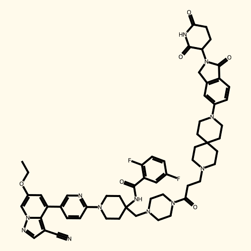 CCOc1cc(-c2ccc(N3CCC(CN4CCN(C(=O)CCN5CCC6(CC5)CCN(c5ccc7c(c5)CN(C5CCC(=O)NC5=O)C7=O)CC6)CC4)(NC(=O)c4cc(F)ccc4F)CC3)nc2)c2c(C#N)cnn2c1